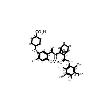 COc1cc(F)c(OC2CCC(C(=O)O)CC2)cc1C(=O)NC1C2CCC(C2)C1C(=O)Nc1c(F)c(F)c(F)c(F)c1F